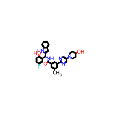 Cc1cc(C(=O)N[C@@H](c2cc3ccccc3[nH]2)c2cc(F)ccc2O)cc(-c2ncc(N3CCC(O)CC3)cn2)c1